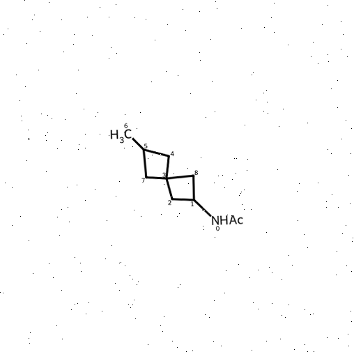 CC(=O)NC1CC2(CC(C)C2)C1